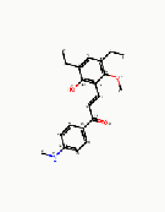 CCc1cc(CC)c(OC)c(/C=C/C(=O)c2ccc(NC)cc2)c1O